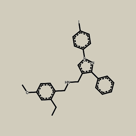 CCc1cc(OC)ccc1CNCc1cn(-c2ccc(I)cc2)nc1-c1ccccc1